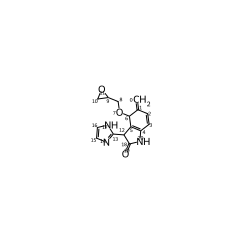 C=C1C=CC2=C(C1OCC1CO1)C(c1ncc[nH]1)C(=O)N2